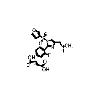 CNCc1cn(S(=O)(=O)c2ccoc2)c(-c2ccccc2F)n1.O=C(O)/C=C/C(=O)O